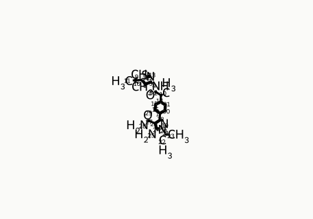 CC(C(=O)Nc1cc(C(C)(C)C)sn1)c1ccc(-c2nn(C(C)C)c(N)c2C(N)=O)cc1